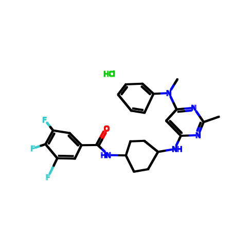 Cc1nc(NC2CCC(NC(=O)c3cc(F)c(F)c(F)c3)CC2)cc(N(C)c2ccccc2)n1.Cl